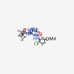 COc1ccc(Cl)c(NC(=O)N2Cc3c(NC(=O)C4([Si](C)(C)C)CCC4)n[nH]c3C2(C)C)c1